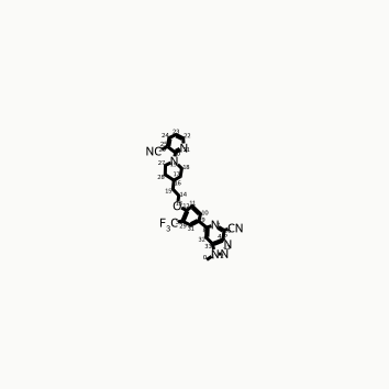 Cn1nnc2c(C#N)nc(-c3ccc(OCCC4CCN(c5ncccc5C#N)CC4)c(C(F)(F)F)c3)cc21